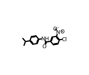 CC(C)c1ccc(NC(=O)c2ccc(Cl)c([N+](=O)[O-])c2)cc1